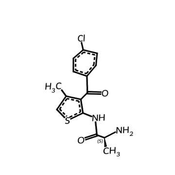 Cc1csc(NC(=O)[C@H](C)N)c1C(=O)c1ccc(Cl)cc1